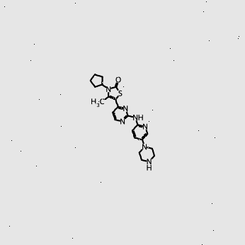 Cc1c(-c2ccnc(Nc3ccc(N4CCNCC4)cn3)n2)sc(=O)n1C1CCCC1